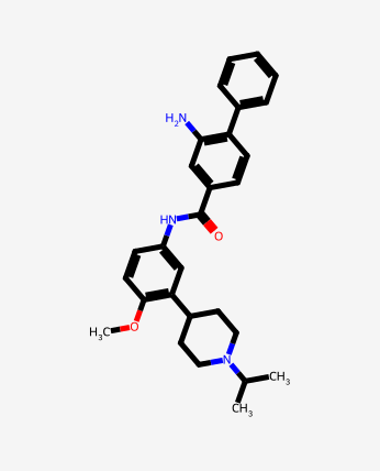 COc1ccc(NC(=O)c2ccc(-c3ccccc3)c(N)c2)cc1C1CCN(C(C)C)CC1